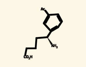 CC(=O)c1cccc([C@H](N)CCCC(=O)O)c1